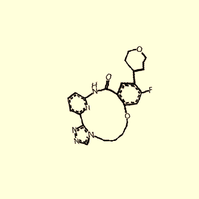 O=C1Nc2cccc(n2)-c2nncn2CCCCOc2cc(F)c(C3CCOCC3)cc21